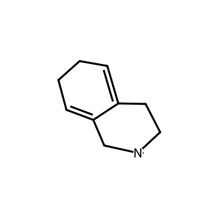 C1=C2CC[N]CC2=CCC1